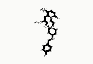 C=C/C(=C\c1c(N)ccc(=O)n1CCN1CCC(NCc2ccc(Cl)cc2)CC1)OC